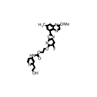 COc1cnc2c(-c3nc4cc(F)c(OCCOC(=O)Nc5ccnc(CCO)c5)nc4s3)cc(C)cc2n1